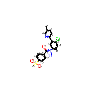 Cc1ccc(-c2cc(NC(=O)c3ccc(S(C)(=O)=O)cc3)ccc2Cl)nc1